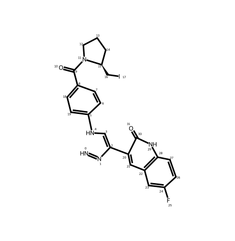 N=N/C(=C\Nc1ccc(C(=O)N2CCC[C@H]2CI)cc1)c1cc2cc(F)ccc2[nH]c1=O